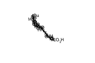 CC(C)(C)OC(=O)Nc1ccn([C@@H]2O[C@H](COC(=O)NCCCCCC(=O)NCc3ccc(C(=O)O)cc3)C(O)C2(F)F)c(=O)n1